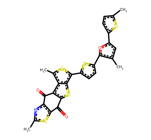 Cc1ccc(-c2cc(C)c(-c3ccc(-c4sc(C)c5c6c(sc45)C(=O)c4sc(C)nc4C6=O)s3)o2)s1